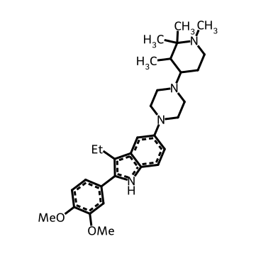 CCc1c(-c2ccc(OC)c(OC)c2)[nH]c2ccc(N3CCN(C4CCN(C)C(C)(C)C4C)CC3)cc12